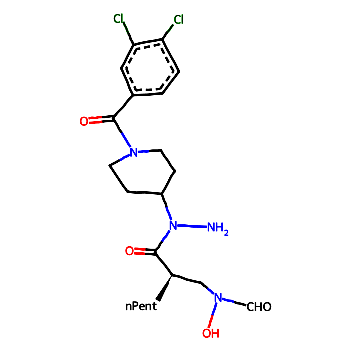 CCCCC[C@H](CN(O)C=O)C(=O)N(N)C1CCN(C(=O)c2ccc(Cl)c(Cl)c2)CC1